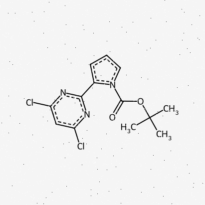 CC(C)(C)OC(=O)n1cccc1-c1nc(Cl)cc(Cl)n1